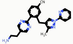 Cc1nn(-c2ccccn2)cc1Cc1cc(C#N)ccc1-c1ncc(CCN)cn1